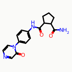 NC(=O)C1CCCC1C(=O)Nc1ccc(-n2ccncc2=O)cc1